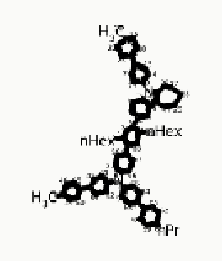 CCCCCCc1cc(-c2ccc3c(c2)c2c(n3-c3ccc(-c4ccc(C)cc4)cc3)C=CCC=C2)c(CCCCCC)cc1-c1ccc(N(c2ccc(-c3ccc(C)cc3)cc2)c2ccc(-c3ccc(CCC)cc3)cc2)cc1